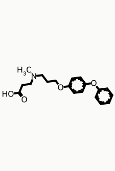 CN(CCCOc1ccc(Oc2ccccc2)cc1)CCC(=O)O